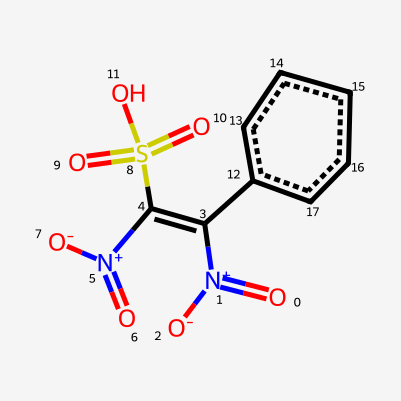 O=[N+]([O-])C(=C([N+](=O)[O-])S(=O)(=O)O)c1ccccc1